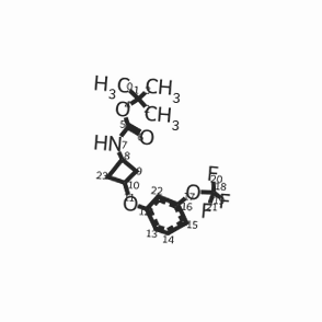 CC(C)(C)OC(=O)NC1CC(Oc2cccc(OC(F)(F)F)c2)C1